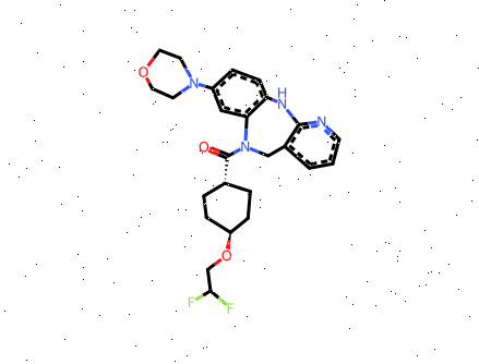 O=C([C@H]1CC[C@H](OCC(F)F)CC1)N1Cc2cccnc2Nc2ccc(N3CCOCC3)cc21